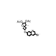 CC(=O)OC1O[C@]2(C[C@@H](Oc3ccc4cc(Br)cnc4c3)C2)[C@@H](C)C1OC(C)=O